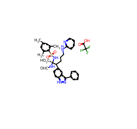 Cc1cc(C)c(S(=O)(=O)N[C@](NC=O)(C(=O)O)C(CCCNc2ccccn2)c2ccc3[nH]nc(-c4ccccc4)c3c2)c(C)c1.O=C(O)C(F)(F)F